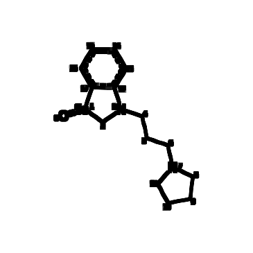 O=[Se]1CN(CCCN2CCCC2)c2ccccc21